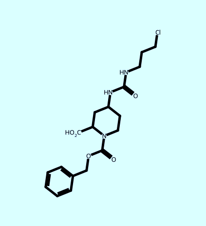 O=C(NCCCCl)NC1CCN(C(=O)OCc2ccccc2)C(C(=O)O)C1